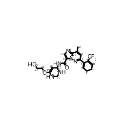 Cc1cc(C2=CCCC=C2C(F)(F)F)nn2c(C(=O)NC3C=C(OCCO)NCN3)cnc12